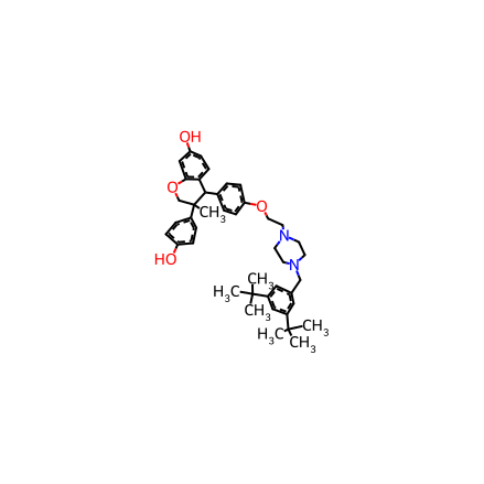 CC(C)(C)c1cc(CN2CCN(CCOc3ccc(C4c5ccc(O)cc5OCC4(C)c4ccc(O)cc4)cc3)CC2)cc(C(C)(C)C)c1